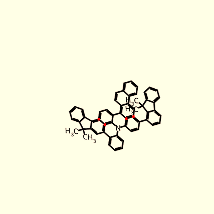 CC1(C)c2ccccc2-c2ccc(-c3ccccc3N(c3ccc(-c4cccc5c4C(C)(C)c4ccccc4-5)cc3)c3ccccc3-c3cccc4c3ccc3ccccc34)cc21